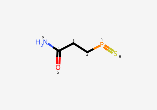 NC(=O)CCP=S